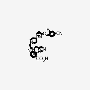 CC(C)n1cncc1Cn1c(CN2CCC(n3ccc(OCc4ccc(C#N)cc4F)n3)CC2)nc2ccc(C(=O)O)cc21